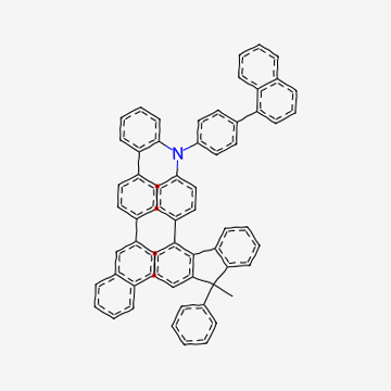 CC1(c2ccccc2)c2ccccc2-c2c(-c3ccc(N(c4ccc(-c5cccc6ccccc56)cc4)c4ccccc4-c4ccc(-c5ccc6ccccc6c5)cc4)cc3)cccc21